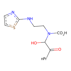 CCCC(=O)C(O)N(CCNc1nccs1)C(=O)O